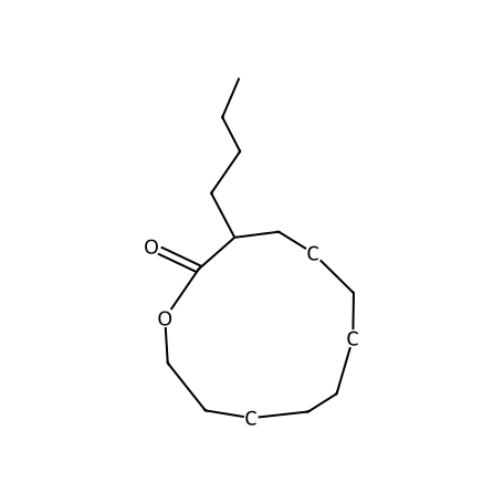 CCCCC1CCCCCCCCCOC1=O